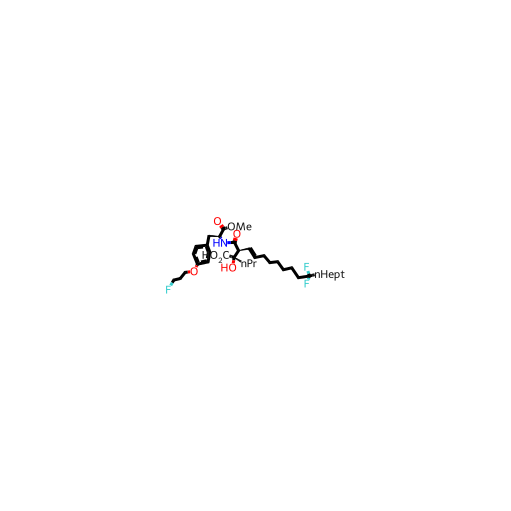 CCCCCCCC(F)(F)CCCCCCC=C[C@H](C(=O)N[C@@H](Cc1ccc(OCCCF)cc1)C(=O)OC)[C@@](O)(CCC)C(=O)O